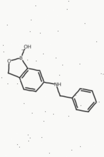 OB1OCc2ccc(NCc3ccccc3)cc21